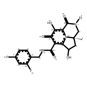 CCN1C[C@@]2(C)CC(O)c3c(C(=O)NCc4ccc(F)cc4F)c(=O)c(O)c(n32)C1=O